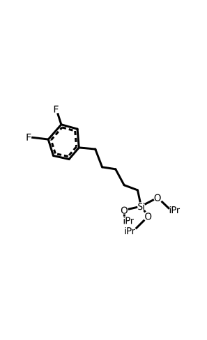 CC(C)O[Si](CCCCCc1ccc(F)c(F)c1)(OC(C)C)OC(C)C